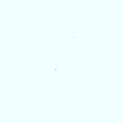 CNC(=O)c1cc(Oc2ccc3c(NC(=O)c4cccc(F)c4)cccc3c2)ccn1